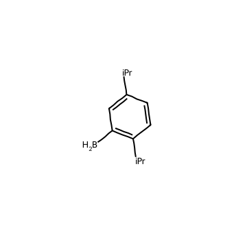 Bc1cc(C(C)C)ccc1C(C)C